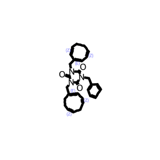 O=c1n(CC2=C/C=C\CC/C=C\2)c(=O)n(Cc2ccccc2)c(=O)n1C/C1=C/C=C\C/C=C\CC1